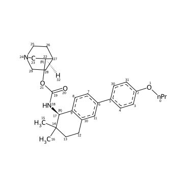 CCCOc1ccc(-c2ccc3c(c2)CCC(C)(C)[C@H]3NC(=O)O[C@H]2CN3CCC2CC3)cc1